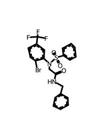 O=C(CN(c1cc(C(F)(F)F)ccc1Br)S(=O)(=O)c1ccccc1)NCc1ccccc1